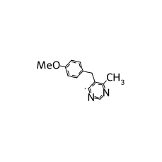 COc1ccc(Cc2[c]ncnc2C)cc1